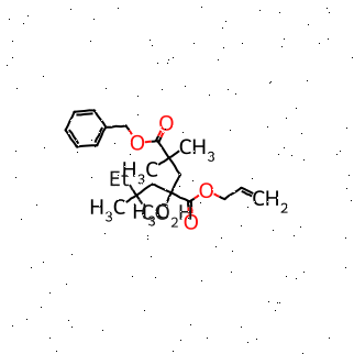 C=CCOC(=O)C(C)(CC(C)(C)C(=O)OCc1ccccc1)CC(C)(CC)C(=O)O